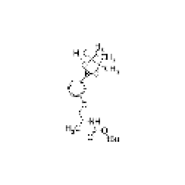 C[C@@H](COc1cccc(B2OC(C)(C)C(C)(C)O2)c1)NC(=O)OC(C)(C)C